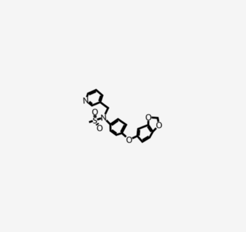 CS(=O)(=O)N(Cc1cccnc1)c1ccc(Oc2ccc3c(c2)OCO3)cc1